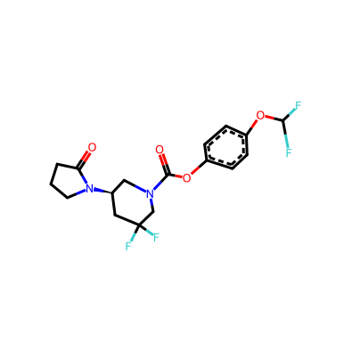 O=C(Oc1ccc(OC(F)F)cc1)N1C[C@H](N2CCCC2=O)CC(F)(F)C1